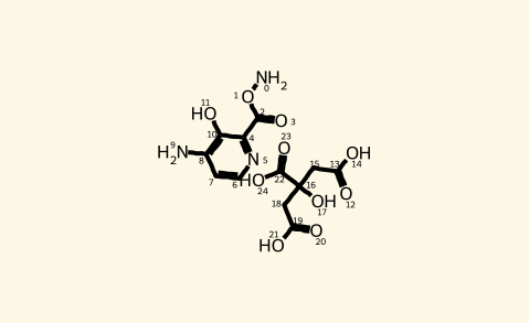 NOC(=O)c1nccc(N)c1O.O=C(O)CC(O)(CC(=O)O)C(=O)O